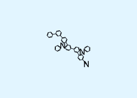 N#Cc1ccc2c3cc(-c4ccc5c(c4)c4ccc(-c6cccc(-c7ccccc7)c6)cc4n5-c4ccccc4)ccc3n(-c3ccccc3)c2c1